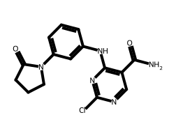 NC(=O)c1cnc(Cl)nc1Nc1cccc(N2CCCC2=O)c1